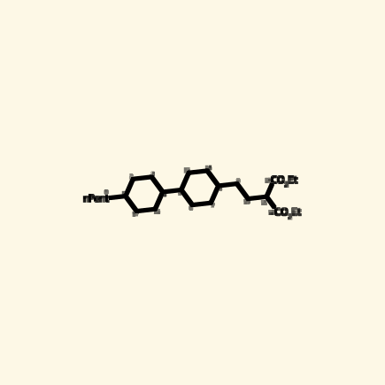 CCCCCC1CCC(C2CCC(CCC(C(=O)OCC)C(=O)OCC)CC2)CC1